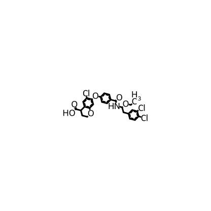 CCOC(Cc1ccc(Cl)c(Cl)c1)NC(=O)c1ccc(Oc2cc3c(cc2Cl)C(C(=O)O)CCO3)cc1